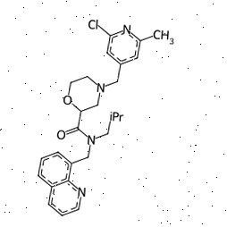 Cc1cc(CN2CCOC(C(=O)N(Cc3cccc4cccnc34)CC(C)C)C2)cc(Cl)n1